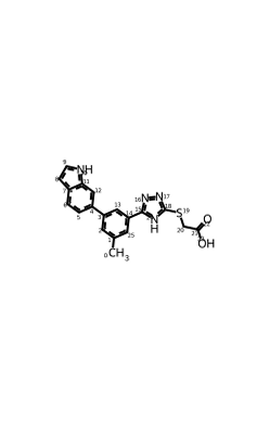 Cc1cc(-c2ccc3cc[nH]c3c2)cc(-c2nnc(SCC(=O)O)[nH]2)c1